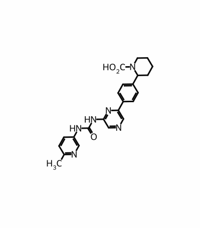 Cc1ccc(NC(=O)Nc2cncc(-c3ccc(C4CCCCN4C(=O)O)cc3)n2)cn1